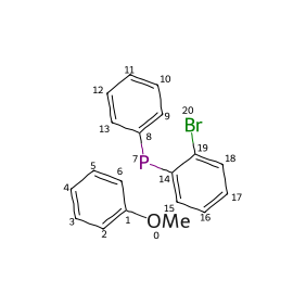 COc1ccccc1[P@@](c1ccccc1)c1ccccc1Br